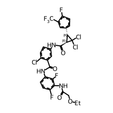 CCOCC(=O)Nc1c(F)ccc(NC(=O)c2cc(NC(=O)[C@H]3[C@H](c4ccc(F)c(C(F)(F)F)c4)C3(Cl)Cl)ccc2Cl)c1F